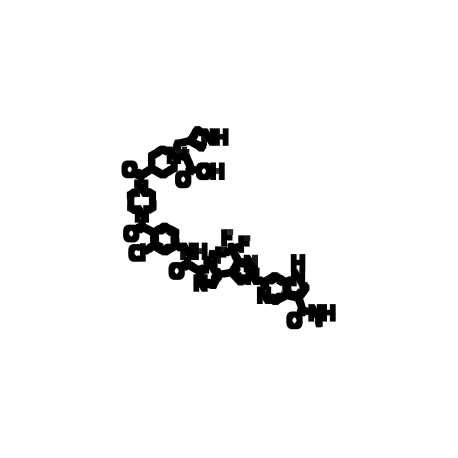 CNC(=O)c1c[nH]c2cc(-n3cc(-c4cnc(C(=O)Nc5ccc(C(=O)N6CCN(C(=O)C7CC[N+](CC(=O)O)(CC8CNC8)CC7)CC6)c(Cl)c5)n4C)c(C(F)(F)F)n3)ncc12